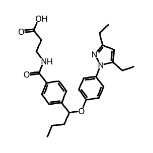 CCCC(Oc1ccc(-n2nc(CC)cc2CC)cc1)c1ccc(C(=O)NCCC(=O)O)cc1